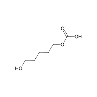 O=C(O)OCCCCCO